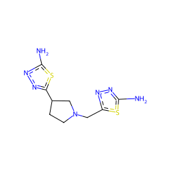 Nc1nnc(CN2CCC(c3nnc(N)s3)C2)s1